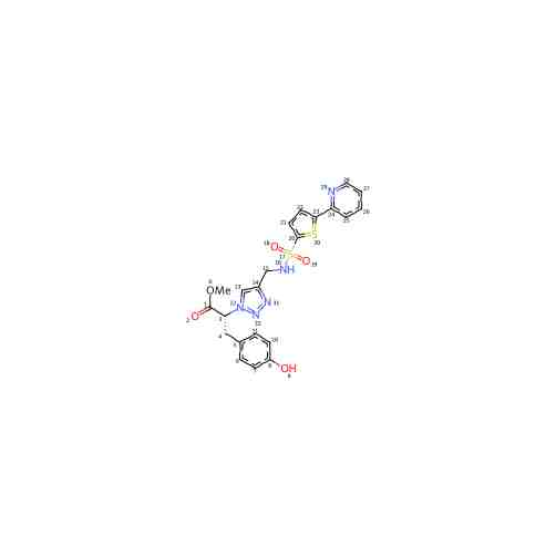 COC(=O)[C@@H](Cc1ccc(O)cc1)n1cc(CNS(=O)(=O)c2ccc(-c3ccccn3)s2)nn1